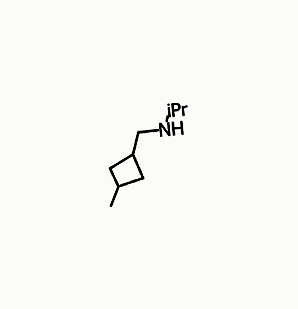 CC1CC(CNC(C)C)C1